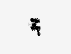 COCCCOc1cc(C(=O)N(C(C)C)[C@@H]2CC[C@H](CCN(C3CC3)S(=O)(=O)Cc3ccccc3)NC2)ccc1OC